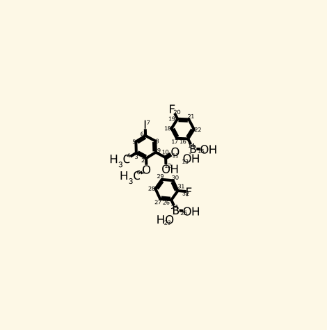 COc1c(C)cc(I)cc1C(=O)O.OB(O)c1ccc(F)cc1.OB(O)c1ccccc1F